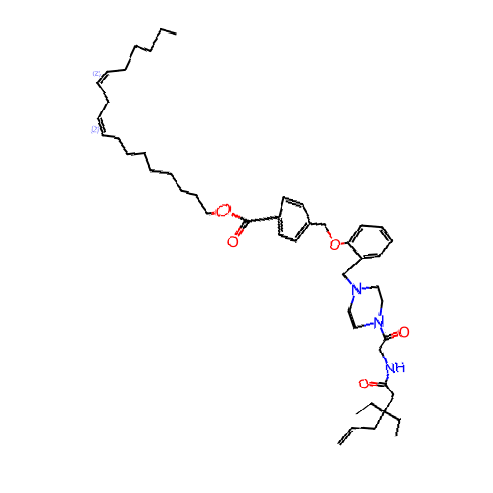 C=CCC(CC)(CC)CC(=O)NCC(=O)N1CCN(Cc2ccccc2OCc2ccc(C(=O)OCCCCCCCC/C=C\C/C=C\CCCCC)cc2)CC1